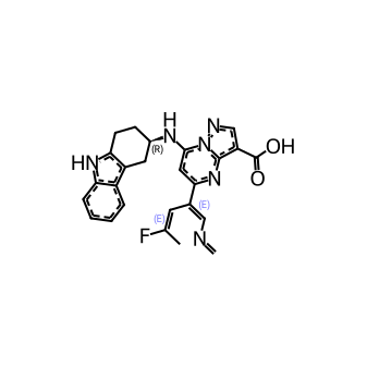 C=N/C=C(\C=C(/C)F)c1cc(N[C@@H]2CCc3[nH]c4ccccc4c3C2)n2ncc(C(=O)O)c2n1